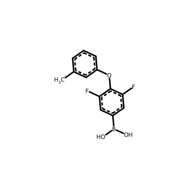 Cc1cccc(Oc2c(F)cc(B(O)O)cc2F)c1